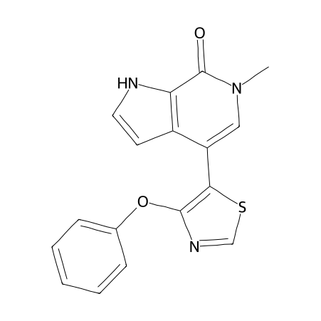 Cn1cc(-c2scnc2Oc2ccccc2)c2cc[nH]c2c1=O